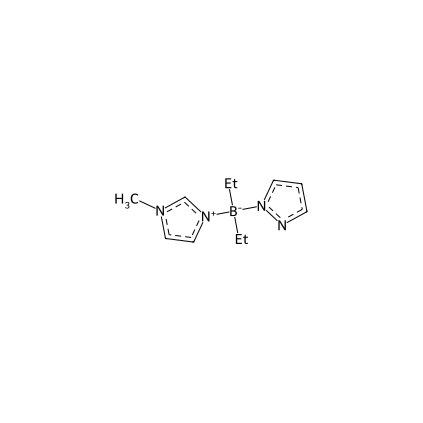 CC[B-](CC)(n1cccn1)[n+]1ccn(C)c1